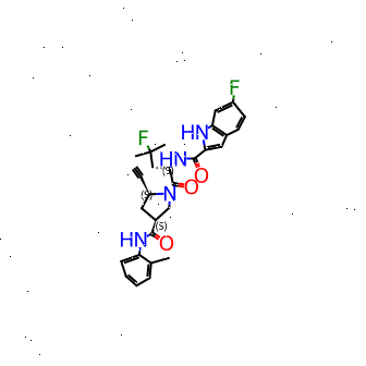 C#C[C@@H]1C[C@H](C(=O)Nc2ccccc2C)CN1C(=O)[C@H](CC(C)(C)F)NC(=O)c1cc2ccc(F)cc2[nH]1